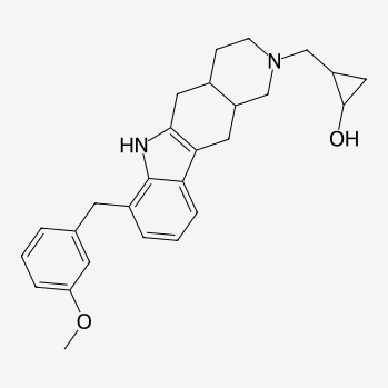 COc1cccc(Cc2cccc3c4c([nH]c23)CC2CCN(CC3CC3O)CC2C4)c1